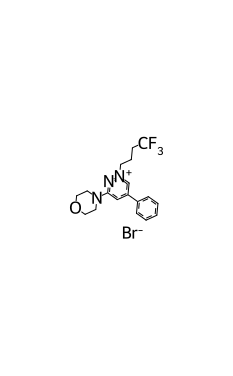 FC(F)(F)CCC[n+]1cc(-c2ccccc2)cc(N2CCOCC2)n1.[Br-]